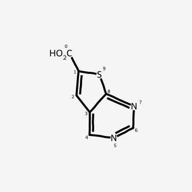 O=C(O)c1cc2cncnc2s1